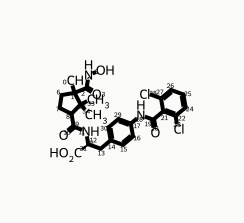 CC1(C(=O)NO)CCC(C(=O)N[C@@H](Cc2ccc(NC(=O)c3c(Cl)cccc3Cl)cc2)C(=O)O)C1(C)C